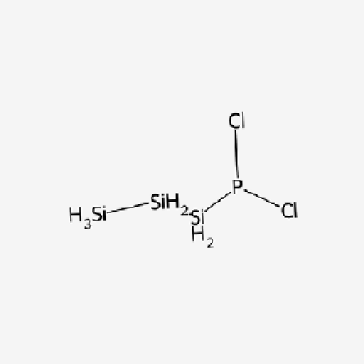 [SiH3][SiH2][SiH2]P(Cl)Cl